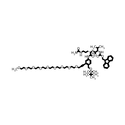 COCCOCCOCCOCCOCCOCCOCCOCCOCC#Cc1cc(NC(=O)[C@H](CCCNC(N)=O)NC(=O)[C@@H](NC(=O)OCC2c3ccccc3-c3ccccc32)C(C)C)ccc1CO[Si](C)(C)C(C)(C)C